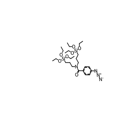 CCO[Si](CCCN(CCC[Si](OCC)(OCC)OCC)C(=O)c1ccc(N=[N+]=[N-])cc1)(OCC)OCC